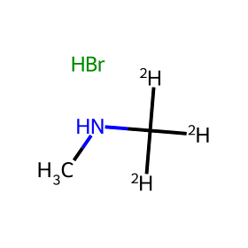 Br.[2H]C([2H])([2H])NC